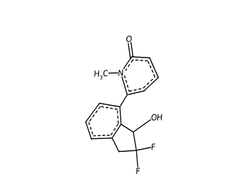 Cn1c(-c2cccc3c2C(O)C(F)(F)C3)cccc1=O